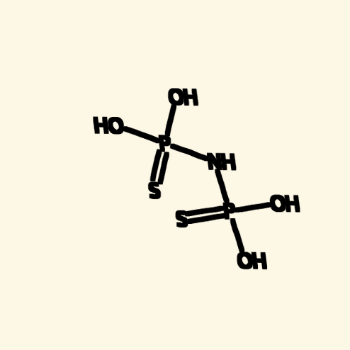 OP(O)(=S)NP(O)(O)=S